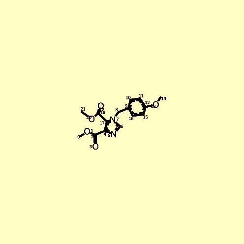 COC(=O)c1ncn(Cc2ccc(OC)cc2)c1C(=O)OC